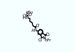 CCCN1C(=O)c2ccc(NC(=O)CCCCNS(=O)(=O)C(C)(C)C)cc2C1=O